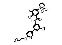 COCCOc1ccc(-c2cc(Cl)cc(NC(=O)c3cc(N4CCCS4(=O)=O)cc(C)c3Cl)c2)cn1